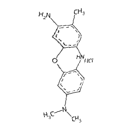 Cc1cc2c(cc1N)Oc1cc(N(C)C)ccc1N2.Cl